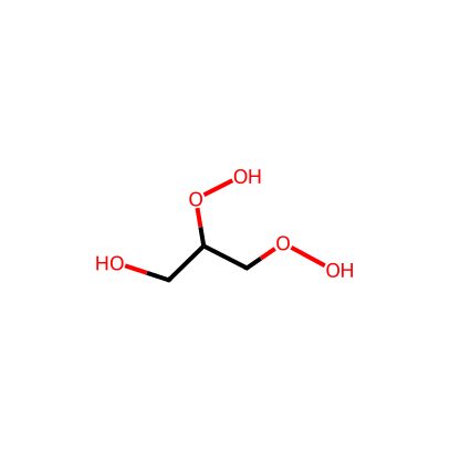 OCC(COO)OO